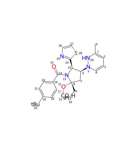 CC1=CC=CN([C@H]2C[C@](CC(C)C)(OC(=O)O)N(C(=O)c3ccc(C(C)(C)C)cc3)[C@H]2c2nccs2)N1